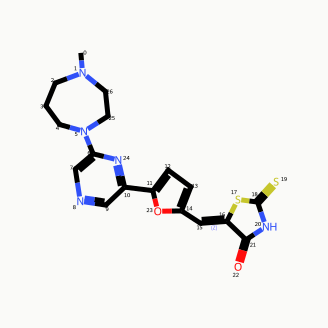 CN1CCCN(c2cncc(-c3ccc(/C=C4\SC(=S)NC4=O)o3)n2)CC1